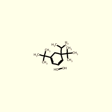 CC(C)C1(C(C)(C)C)C=CC=C(C(C)(C)C)C1.OO